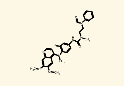 COc1cc2nccc(N(C)c3ccc(NC(=O)N(C)CCN(C=O)c4ccccc4)cc3F)c2cc1OC